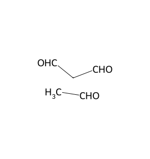 CC=O.O=CCC=O